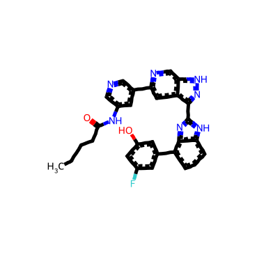 CCCCC(=O)Nc1cncc(-c2cc3c(-c4nc5c(-c6cc(O)cc(F)c6)cccc5[nH]4)n[nH]c3cn2)c1